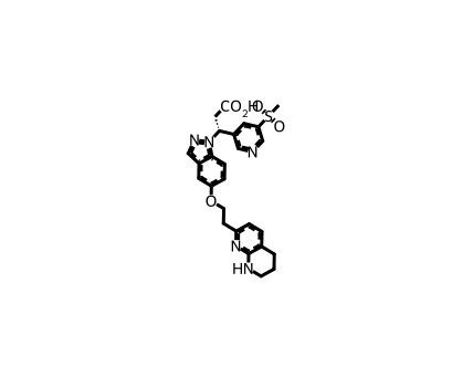 CS(=O)(=O)c1cncc([C@@H](CC(=O)O)n2ncc3cc(OCCc4ccc5c(n4)NCCC5)ccc32)c1